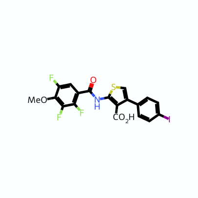 COc1c(F)cc(C(=O)Nc2scc(-c3ccc(I)cc3)c2C(=O)O)c(F)c1F